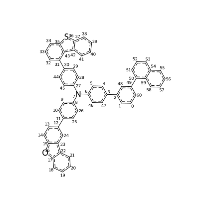 c1cc(-c2ccc(N(c3ccc(-c4ccc5oc6ccccc6c5c4)cc3)c3ccc(-c4cccc5sc6ccccc6c45)cc3)cc2)cc(-c2cccc3ccccc23)c1